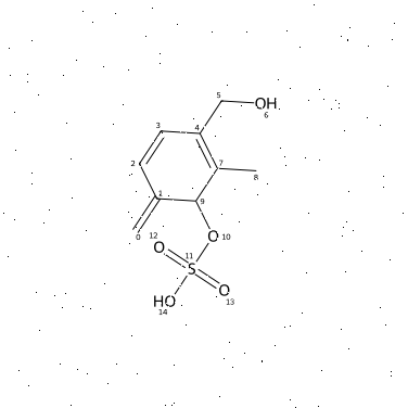 C=C1C=CC(CO)=C(C)C1OS(=O)(=O)O